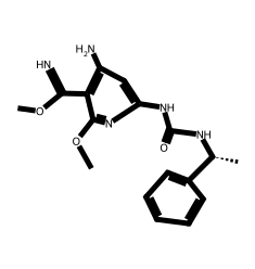 COC(=N)c1c(N)cc(NC(=O)N[C@H](C)c2ccccc2)nc1OC